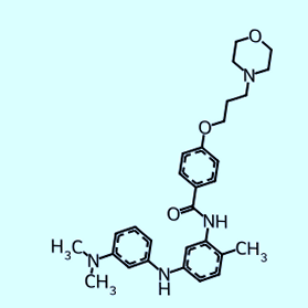 Cc1ccc(Nc2cccc(N(C)C)c2)cc1NC(=O)c1ccc(OCCCN2CCOCC2)cc1